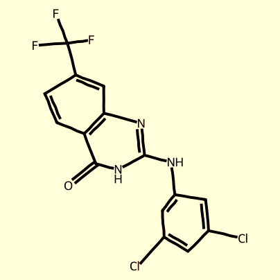 O=c1[nH]c(Nc2cc(Cl)cc(Cl)c2)nc2cc(C(F)(F)F)ccc12